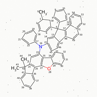 CC1C=CC=C(C2(c3ccccc3)c3cc(N(c4ccccc4)c4cc5c(c6oc7ccccc7c46)-c4ccccc4C5(C)C)ccc3-c3ccc4ccccc4c32)C1